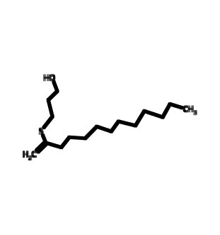 C=C(CCCCCCCCCCC)SCCCO